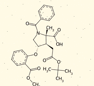 COC(=O)c1ccccc1O[C@@H]1CN(C(=O)c2ccccc2)[C@](C)(C(=O)O)[C@H]1CC(=O)OC(C)(C)C